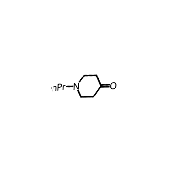 CC[CH]N1CCC(=O)CC1